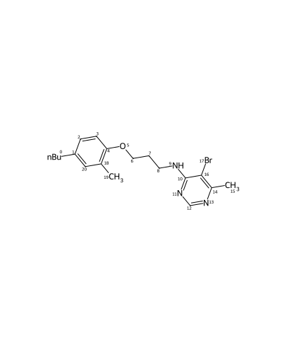 CCCCc1ccc(OCCCNc2ncnc(C)c2Br)c(C)c1